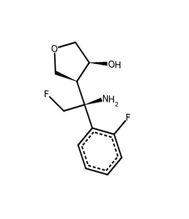 N[C@](CF)(c1ccccc1F)[C@H]1COC[C@H]1O